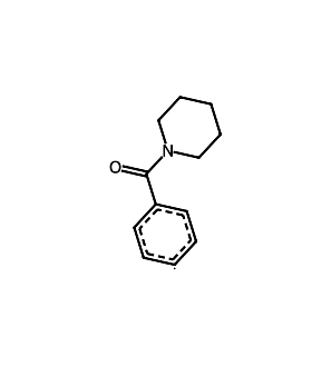 O=C(c1cc[c]cc1)N1CCCCC1